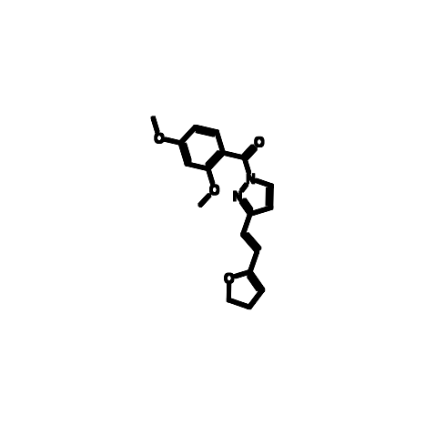 COc1ccc(C(=O)n2ccc(/C=C/C3=CCCO3)n2)c(OC)c1